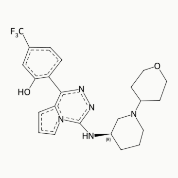 Oc1cc(C(F)(F)F)ccc1-c1nnc(N[C@@H]2CCCN(C3CCOCC3)C2)n2cccc12